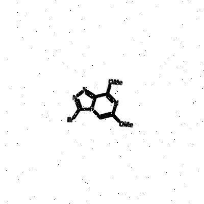 COc1cn2c(Br)nnc2c(OC)n1